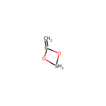 C=[Si]1O[SiH2]O1